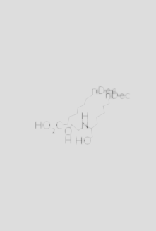 CCCCCCCCCCCCCCCC(CO)NCCO.CCCCCCCCCCCCCCCCCC(=O)O